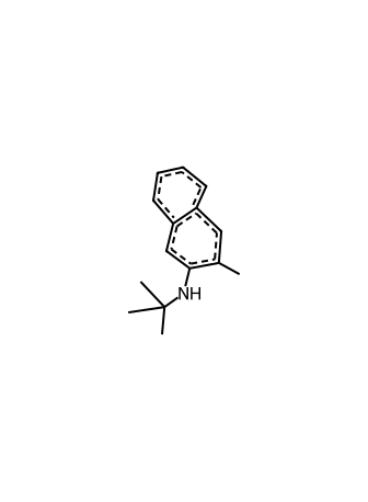 Cc1cc2ccccc2cc1NC(C)(C)C